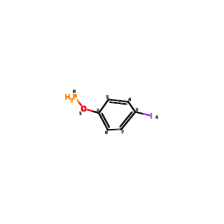 POc1ccc(I)cc1